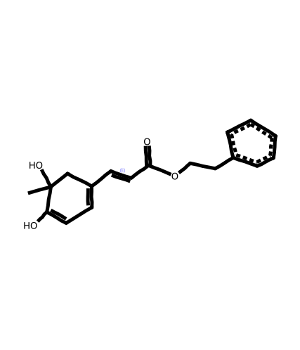 CC1(O)CC(/C=C/C(=O)OCCc2ccccc2)=CC=C1O